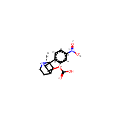 O=C(O)OC1C2CCN(CC2)[C@H]1c1ccc([N+](=O)[O-])cc1